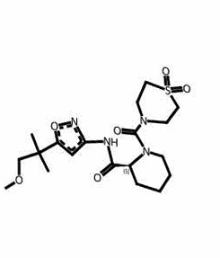 COCC(C)(C)c1cc(NC(=O)[C@@H]2CCCCN2C(=O)N2CCS(=O)(=O)CC2)no1